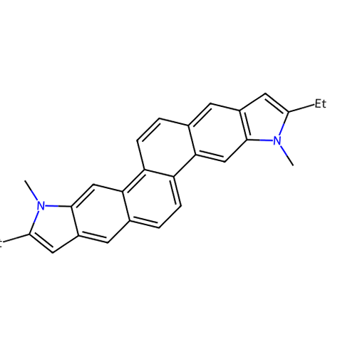 CCc1cc2cc3ccc4c5cc6c(cc(CC)n6C)cc5ccc4c3cc2n1C